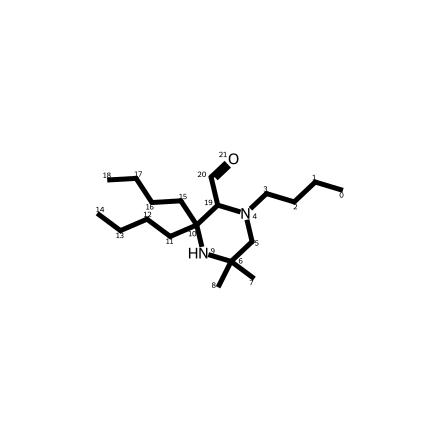 CCCCN1CC(C)(C)NC(CCCC)(CCCC)C1C=O